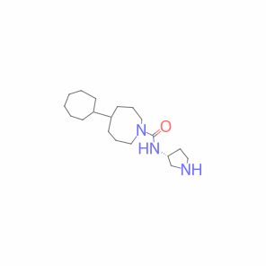 O=C(N[C@@H]1CCNC1)N1CCCC(C2CCCCCC2)CCC1